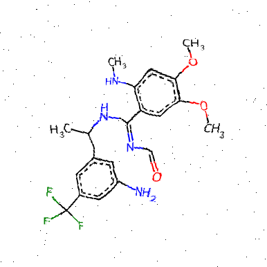 CNc1cc(OC)c(OC)cc1/C(=N\C=O)NC(C)c1cc(N)cc(C(F)(F)F)c1